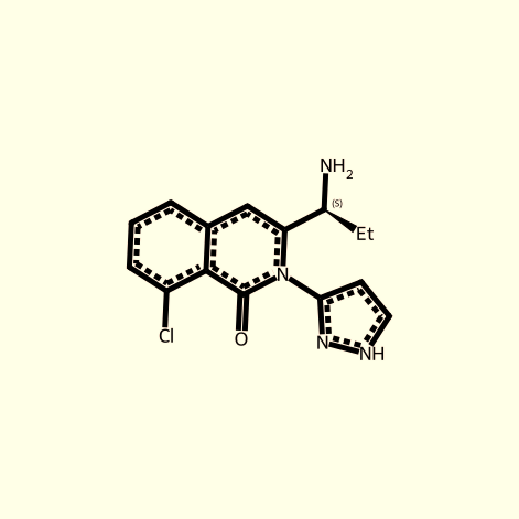 CC[C@H](N)c1cc2cccc(Cl)c2c(=O)n1-c1cc[nH]n1